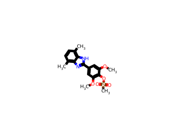 COc1cc(-c2nc3c(C)ccc(C)c3[nH]2)cc(OC)c1OS(C)(=O)=O